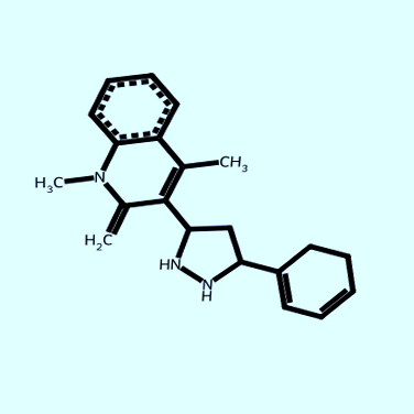 C=C1C(C2CC(C3=CC=CCC3)NN2)=C(C)c2ccccc2N1C